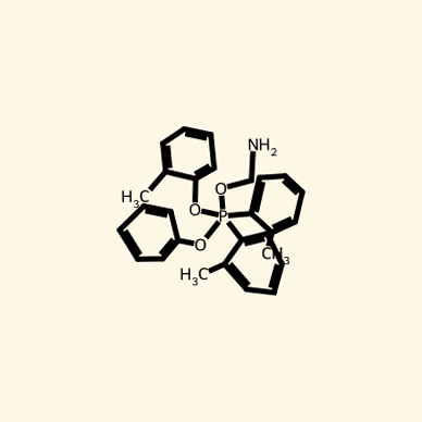 Cc1ccccc1OP(OCN)(Oc1ccccc1)(c1ccccc1C)c1ccccc1C